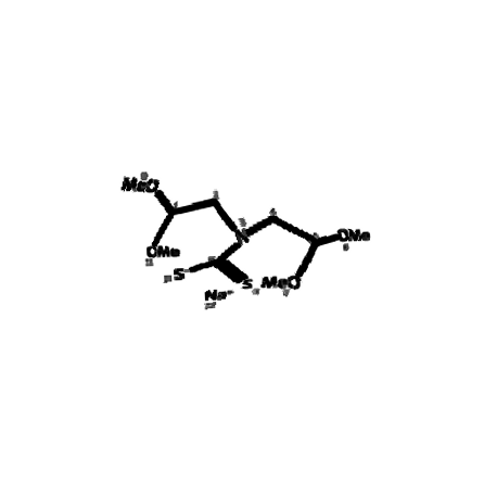 COC(CN(CC(OC)OC)C(=S)[S-])OC.[Na+]